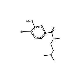 COc1cc(C(=O)N(C)CCN(C)C)ccc1Br